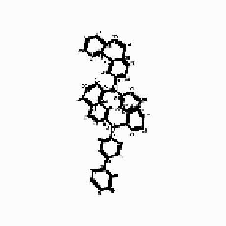 c1ccc(-c2ccc(N(c3ccccc3)c3ccc4cccc(N(c5ccccc5)c5ccc6ccc7ccccc7c6c5)c4c3)cc2)cc1